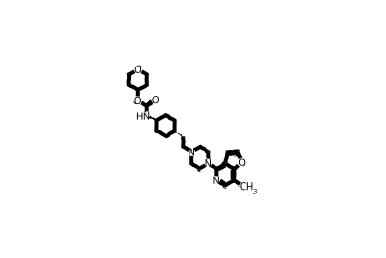 Cc1cnc(N2CCN(CC[C@H]3CC[C@H](NC(=O)OC4CCOCC4)CC3)CC2)c2ccoc12